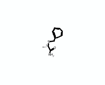 C[C@H](SCc1ccccc1)C(N)=O